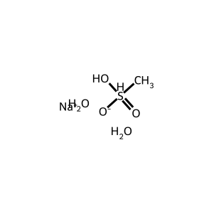 C[SH](=O)([O-])O.O.O.[Na+]